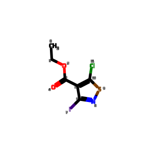 CCOC(=O)c1c(I)nsc1Cl